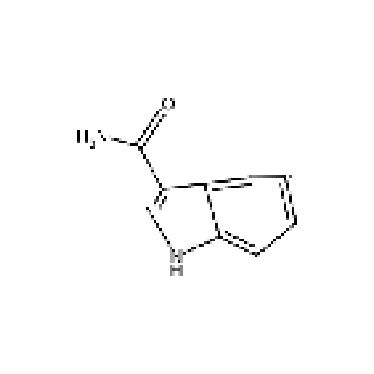 NC(=O)c1n[nH]c2cc[c]cc12